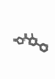 Cc1nc(-c2cccnc2)cnc1N[C@@H]1CCNC1